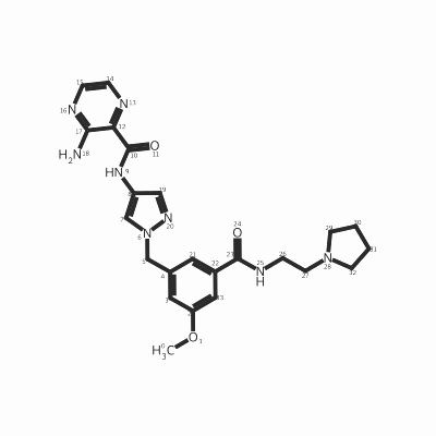 COc1cc(Cn2cc(NC(=O)c3nccnc3N)cn2)cc(C(=O)NCCN2CCCC2)c1